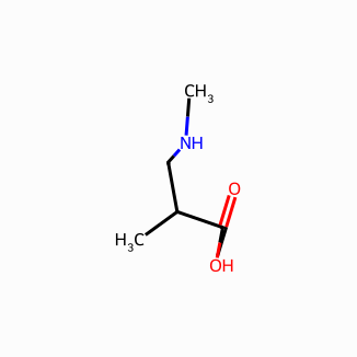 CNCC(C)C(=O)O